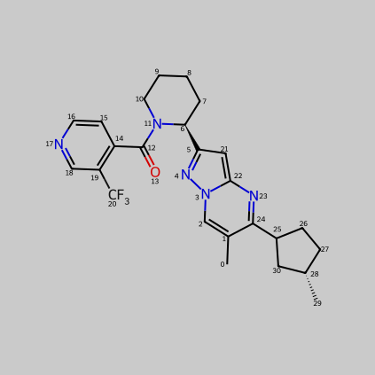 Cc1cn2nc([C@@H]3CCCCN3C(=O)c3ccncc3C(F)(F)F)cc2nc1C1CC[C@H](C)C1